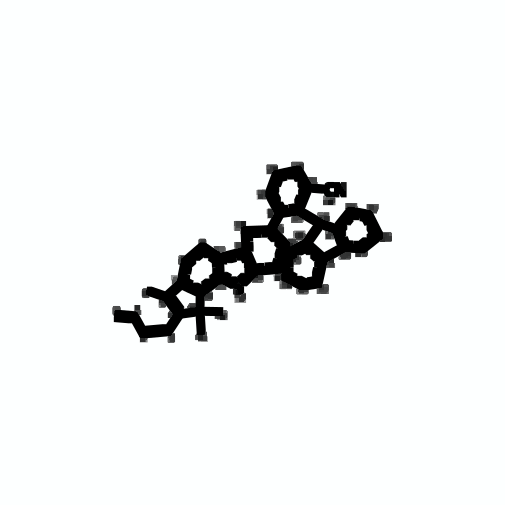 C=C/C=C\C1=C(C)c2ccc3c(sc4ccc(-c5cccc(C#N)c5C5c6ccccc6-c6ccccc65)cc43)c2C1(C)C